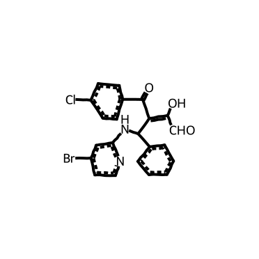 O=C/C(O)=C(/C(=O)c1ccc(Cl)cc1)C(Nc1cc(Br)ccn1)c1ccccc1